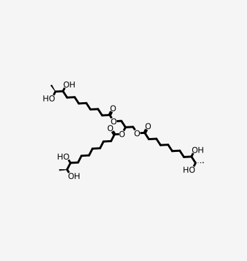 C[C@H](O)C(O)CCCCCCCC(=O)OCC(COC(=O)CCCCCCCC(O)[C@H](C)O)OC(=O)CCCCCCCC(O)[C@H](C)O